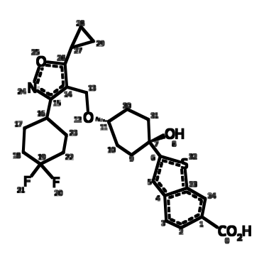 O=C(O)c1ccc2cc([C@]3(O)CC[C@H](OCc4c(C5CCC(F)(F)CC5)noc4C4CC4)CC3)sc2c1